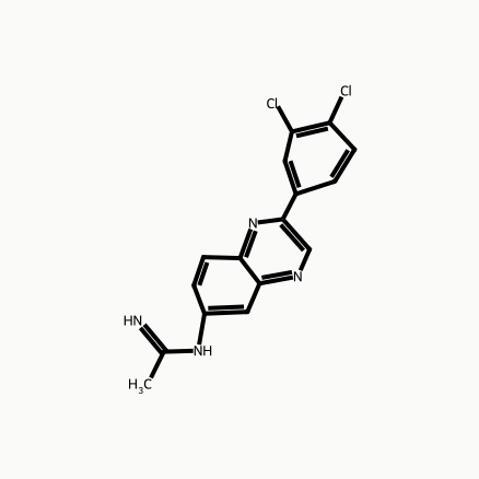 CC(=N)Nc1ccc2nc(-c3ccc(Cl)c(Cl)c3)cnc2c1